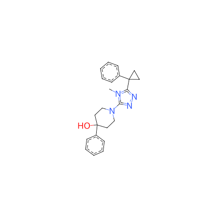 Cn1c(N2CCC(O)(c3ccccc3)CC2)nnc1C1(c2ccccc2)CC1